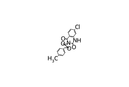 Cc1ccc(S(=O)(=O)n2c(=O)[nH]c3cc(Cl)ccc3c2=O)cc1